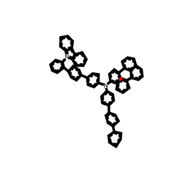 c1ccc(-c2ccc(-c3ccc(N(c4ccc(-c5ccc(-c6ccccc6-n6c7ccccc7c7ccccc76)cc5)cc4)c4ccc(-c5cccc6cccc(-c7ccccc7)c56)cc4)cc3)cc2)cc1